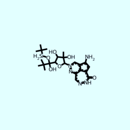 CC(C)(C)[SiH2]OC(O)(C1OC(n2cc3c(N)cc4c(=O)[nH]ncc(n2)c34)C(C)(O)C1O)C(C)(C)C